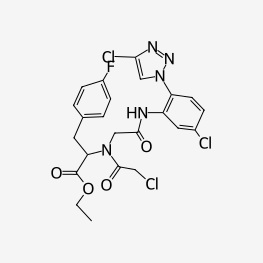 CCOC(=O)C(Cc1ccc(F)cc1)N(CC(=O)Nc1cc(Cl)ccc1-n1cc(Cl)nn1)C(=O)CCl